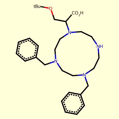 CC(C)(C)OCC(C(=O)O)N1CCNCCN(Cc2ccccc2)CCN(Cc2ccccc2)CC1